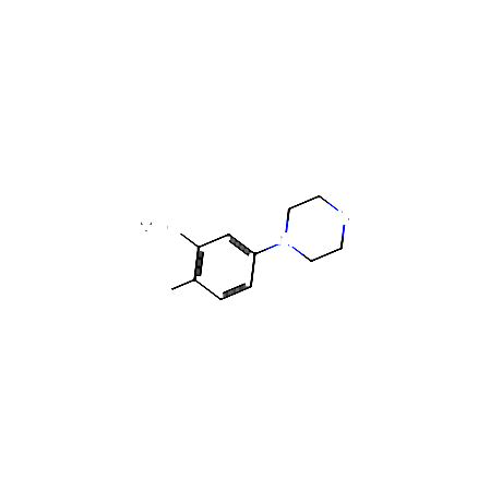 COc1cc(N2CCNCC2)ccc1C